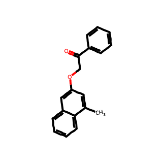 Cc1cc(OCC(=O)c2ccccc2)cc2ccccc12